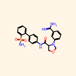 N=C(N)c1cccc(N2COCC2C(=O)Nc2ccc(-c3ccccc3S(N)(=O)=O)cc2)c1